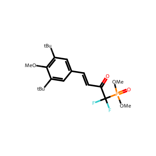 COc1c(C(C)(C)C)cc(/C=C/C(=O)C(F)(F)P(=O)(OC)OC)cc1C(C)(C)C